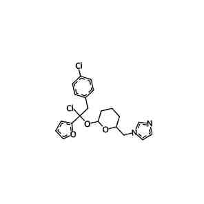 Clc1ccc(CC(Cl)(OC2CCCC(Cn3ccnc3)O2)c2ccco2)cc1